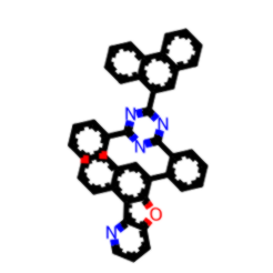 c1ccc(-c2nc(-c3ccccc3-c3cc4ccccc4c4c3oc3cccnc34)nc(-c3cc4ccccc4c4ccccc34)n2)cc1